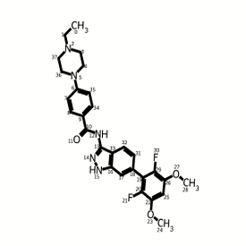 CCN1CCN(c2ccc(C(=O)Nc3n[nH]c4cc(-c5c(F)c(OC)cc(OC)c5F)ccc34)cc2)CC1